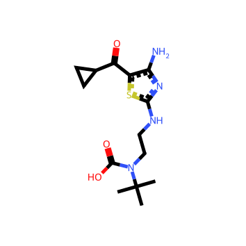 CC(C)(C)N(CCNc1nc(N)c(C(=O)C2CC2)s1)C(=O)O